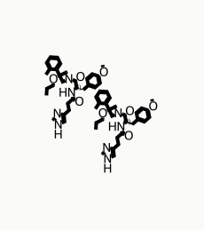 CCCOC1(c2ccccc2C)CN(C(=O)[C@@H](Cc2ccc(OC)cc2)NC(=O)CCc2c[nH]cn2)C1.CCCOC1(c2ccccc2C)CN(C(=O)[C@H](Cc2ccc(OC)cc2)NC(=O)CCc2c[nH]cn2)C1